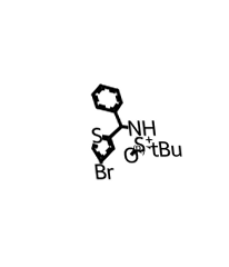 CC(C)(C)[S@+]([O-])NC(c1ccccc1)c1cc(Br)cs1